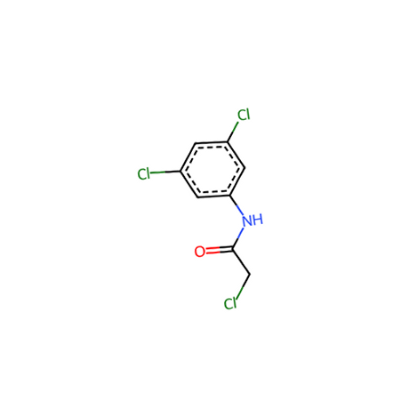 O=C(CCl)Nc1cc(Cl)cc(Cl)c1